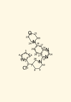 ClC(c1nccs1)C1CCCN(c2ncnc3cc(N4CCOCC4)ccc23)C1